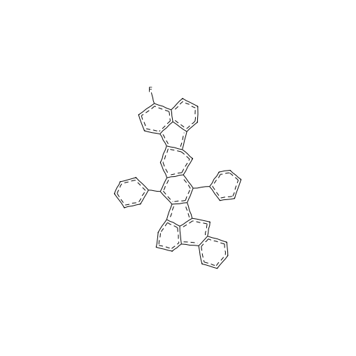 Fc1ccc2c3cc4c(-c5ccccc5)c5c6cccc7c8ccccc8cc(c5c(-c5ccccc5)c4cc3c3cccc1c23)c76